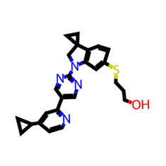 OCCCSc1ccc2c(c1)N(c1ncc(-c3cc(C4CC4)ccn3)cn1)CC21CC1